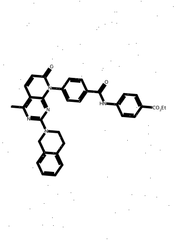 CCOC(=O)c1ccc(NC(=O)c2ccc(-n3c(=O)ccc4c(C)nc(N5CCc6ccccc6C5)nc43)cc2)cc1